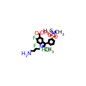 Cc1c(-c2cccc(S(=O)(=O)N(C)C)c2)c2cc(C(=O)O)c(F)cc2n1C/C(F)=C/CN.Cl